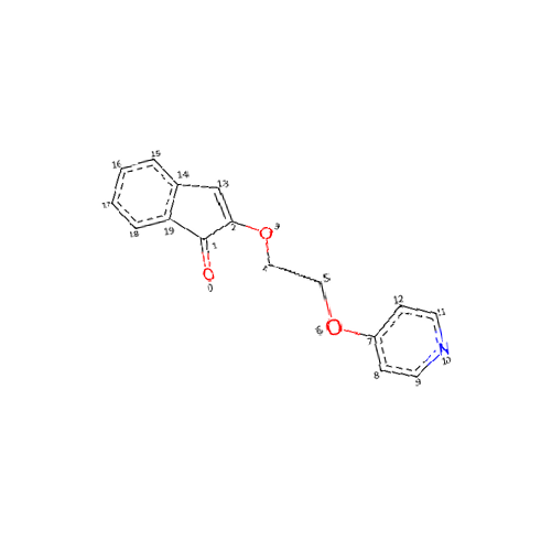 O=C1C(OCCOc2ccncc2)=Cc2ccccc21